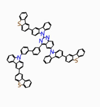 c1cc(-c2cccc(-n3c4ccccc4c4cc(-c5ccc6sc7ccccc7c6c5)ccc43)c2)cc(-c2nc(-n3c4ccccc4c4cc(-c5ccc6sc7ccccc7c6c5)ccc43)nc3ccc(-n4c5ccccc5c5cc(-c6ccc7sc8ccccc8c7c6)ccc54)cc23)c1